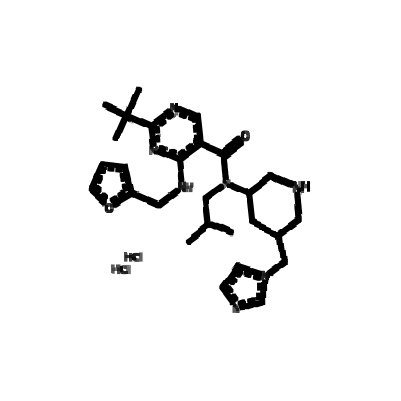 CC(C)CN(C(=O)c1cnc(C(C)(C)C)nc1NCc1ccco1)C1CNCC(Cn2ccnc2)C1.Cl.Cl